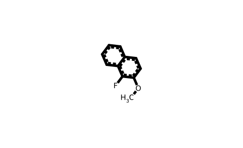 COc1ccc2ccccc2c1F